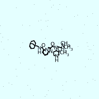 CN(C)CCN(C(=O)c1cn2c(C(=O)NCC34CC=CC(CCC3)C4)cccc2n1)C1CCNCC1(C)C